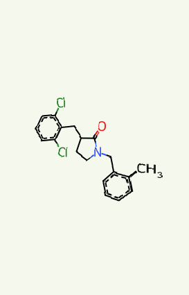 Cc1ccccc1CN1CCC(Cc2c(Cl)cccc2Cl)C1=O